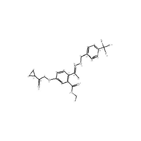 CCOC(=O)c1cc(OCC(=O)C2CC2)ccc1C(C)=NOCc1ccc(C(F)(F)F)cc1